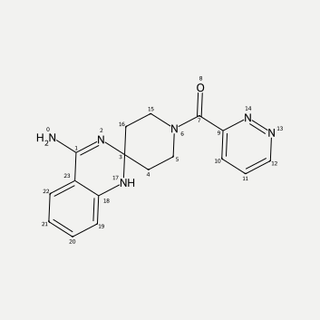 NC1=NC2(CCN(C(=O)c3cccnn3)CC2)Nc2ccccc21